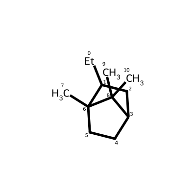 CCC1CC2CCC1(C)C2(C)C